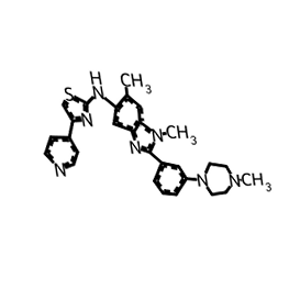 Cc1cc2c(cc1Nc1nc(-c3ccncc3)cs1)nc(-c1cccc(N3CCN(C)CC3)c1)n2C